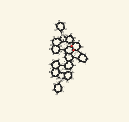 c1ccc(-c2ccccc2-c2c3cccc(-c4cccc5ccc6c(c7ccccc7n6-c6ccccc6)c45)c3cc3c(-c4cccc5ccc6c(c7ccccc7n6-c6ccccc6)c45)cccc23)cc1